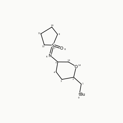 CC(C)(C)CC1CCC(N=S2(=O)CCCC2)CO1